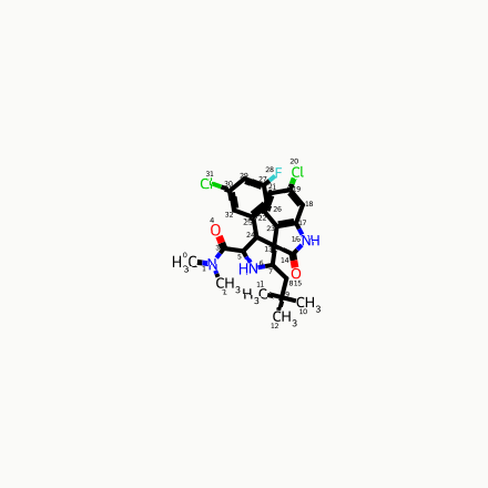 CN(C)C(=O)C1NC(CC(C)(C)C)C2(C(=O)Nc3cc(Cl)ccc32)C1c1cc(F)cc(Cl)c1